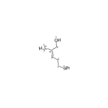 CCCCCC=C(C)CO